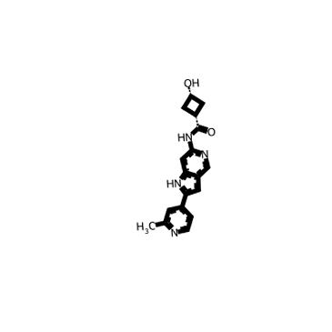 Cc1cc(-c2cc3cnc(NC(=O)[C@H]4C[C@@H](O)C4)cc3[nH]2)ccn1